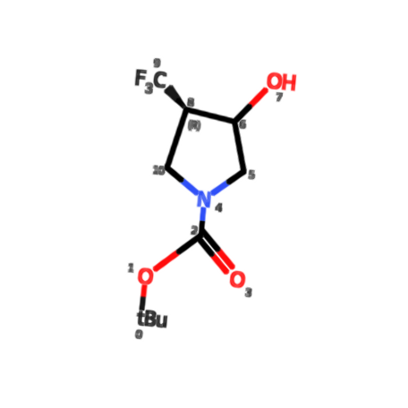 CC(C)(C)OC(=O)N1CC(O)[C@H](C(F)(F)F)C1